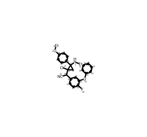 CCNC1(c2ccc(OCC)cc2)CC1(Cl)C(C#N)c1ccc(F)c(Oc2ccccc2)c1